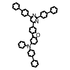 c1ccc(-c2ccc(-c3cc(-c4ccc5c(c4)oc4ccc(N(c6ccccc6)c6ccc(-c7ccccc7)cc6)cc45)nc(-c4ccc(-c5ccccc5)cc4)n3)cc2)cc1